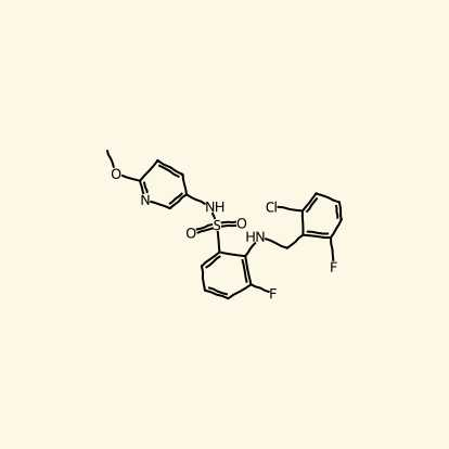 COc1ccc(NS(=O)(=O)c2cccc(F)c2NCc2c(F)cccc2Cl)cn1